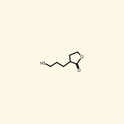 O=C1OCCC1CCCS